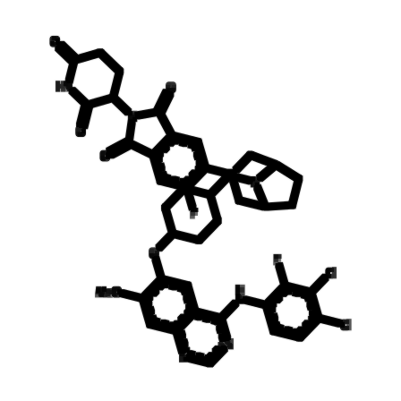 COc1cc2ncnc(Nc3ccc(Cl)c(Cl)c3F)c2cc1OC1CCC(CN2C3CCC2CN(c2cc4c(cc2F)C(=O)N(C2CCC(=O)NC2=O)C4=O)C3)CC1